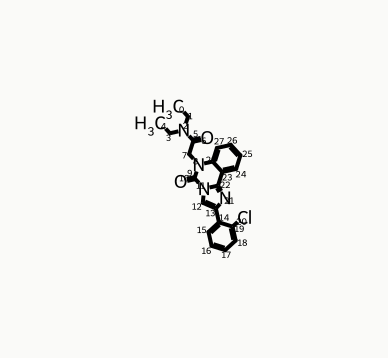 CCN(CC)C(=O)Cn1c(=O)n2cc(-c3ccccc3Cl)nc2c2ccccc21